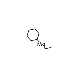 C[CH2][Mg][CH]1CCCCC1